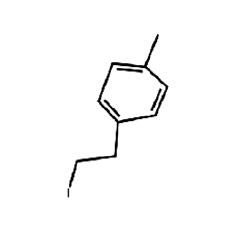 Cc1ccc(CCI)cc1